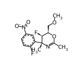 COC[C@H]1OC(C)=N[C@](C)(c2cc([N+](=O)[O-])ccc2F)[C@H]1F